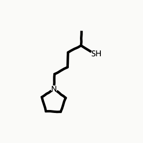 CC(S)CCCN1CCCC1